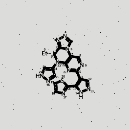 CC[C@@H]1c2nncn2-c2cnc(-c3cn[nH]c3-c3nccs3)nc2N1c1cn[nH]c1